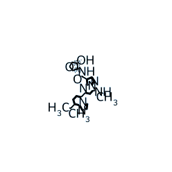 CNc1cc(-c2ccc(C(C)C)c3nccn23)nc2c(C(=O)N[C@@H]3COC[C@@H]3O)cnn12